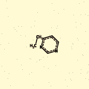 CC.c1cncnc1